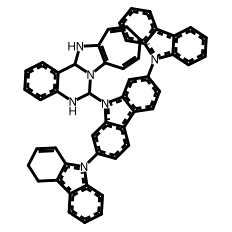 C1=CC2=C(C=CC1)N1C(N2)c2ccccc2NC1n1c2cc(-n3c4c(c5ccccc53)CCC=C4)ccc2c2ccc(-n3c4ccccc4c4ccccc43)cc21